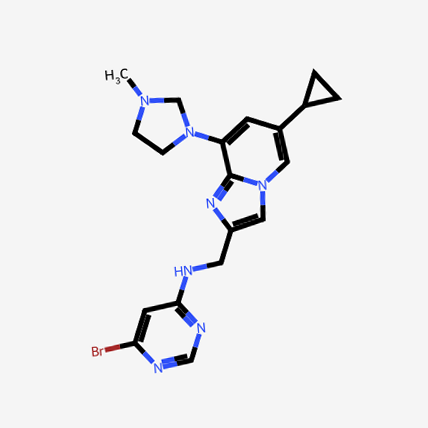 CN1CCN(c2cc(C3CC3)cn3cc(CNc4cc(Br)ncn4)nc23)C1